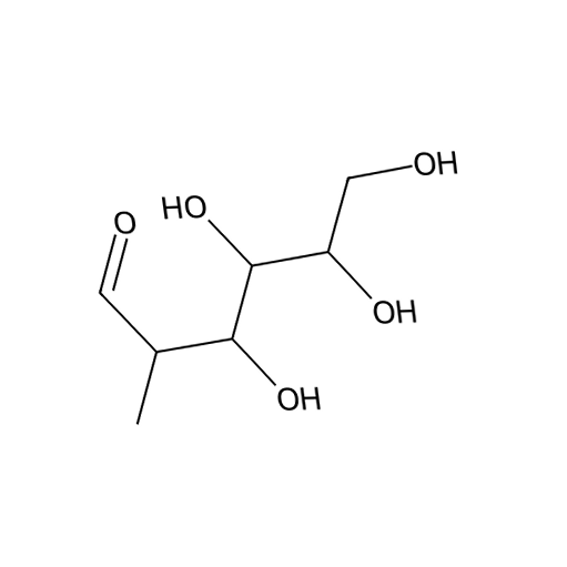 CC(C=O)C(O)C(O)C(O)CO